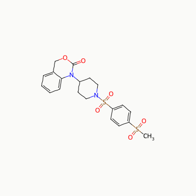 CS(=O)(=O)c1ccc(S(=O)(=O)N2CCC(N3C(=O)OCc4ccccc43)CC2)cc1